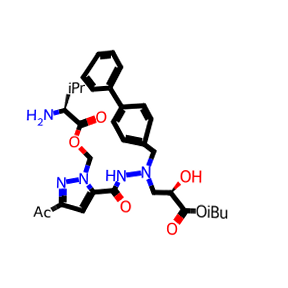 CC(=O)c1cc(C(=O)NN(Cc2ccc(-c3ccccc3)cc2)C[C@@H](O)C(=O)OCC(C)C)n(COC(=O)[C@@H](N)C(C)C)n1